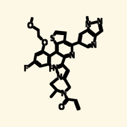 C=CC(=O)N1Cc2cc(-c3nc(-c4cnc5cnn(C)c5c4)c4ccsc4c3-c3c(F)cc(F)cc3OCCOC)nn2CC1C